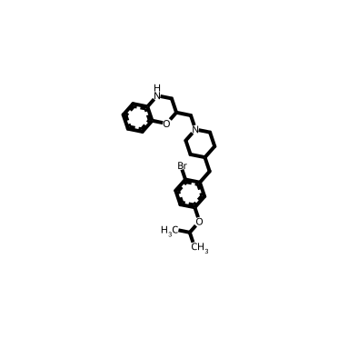 CC(C)Oc1ccc(Br)c(CC2CCN(CC3CNc4ccccc4O3)CC2)c1